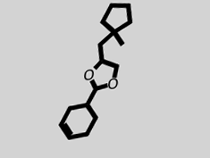 CC1(CC2COC(C3CC=CCC3)O2)CCCC1